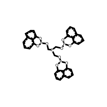 c1cc2c3c(cccc3c1)OP(OCP(COP1Oc3cccc4cccc(c34)O1)COP1Oc3cccc4cccc(c34)O1)O2